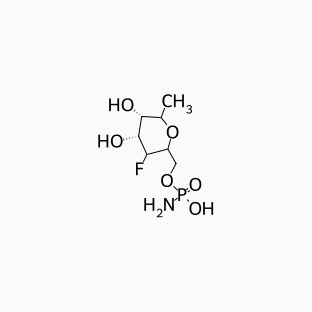 CC1OC(COP(N)(=O)O)C(F)[C@H](O)[C@@H]1O